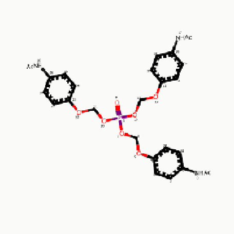 CC(=O)Nc1ccc(OCOP(=O)(OCOc2ccc(NC(C)=O)cc2)OCOc2ccc(NC(C)=O)cc2)cc1